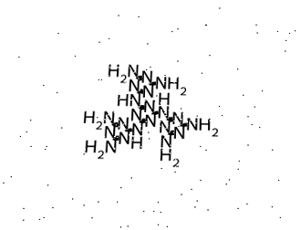 Nc1nc(N)nc(Nc2nc(Nc3nc(N)nc(N)n3)nc(Nc3nc(N)nc(N)n3)n2)n1